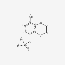 CC(C)[Si](Cc1nnc(O)c2c1CCCC2)(C(C)C)C(C)C